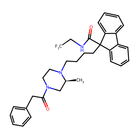 C[C@H]1CN(C(=O)Cc2ccccc2)CCN1CCCCC1(C(=O)NCC(F)(F)F)c2ccccc2-c2ccccc21